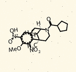 COc1c([N+](=O)O)cc2c(c1[N+](=O)[O-])[C@]1(C)CCN(C(=O)C3CCCC3)[C@H](C2)[C@@H]1C